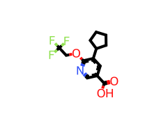 O=C(O)c1cnc(OCC(F)(F)F)c(C2CCCC2)c1